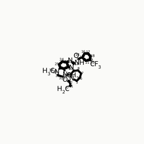 C=CC(=O)N1CCCC[C@@H](n2c(NC(=O)c3cccc(C(F)(F)F)c3)nc3ccc4c(c32)N(C)CCN4C)C1